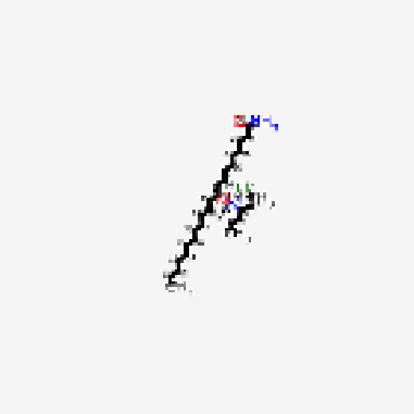 CCCC(CC)[N+](C)(C)O.CCCCCCCCCCCCCCCCCCCCCC(N)=O.[Cl-]